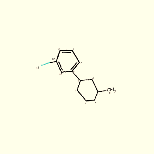 CC1CCCC(c2cccc(F)c2)C1